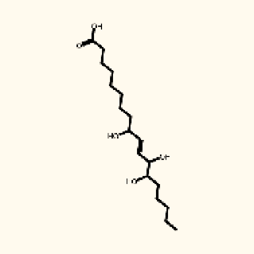 CCCCCC(O)C(O)C=CC(O)CCCCCCCC(=O)O